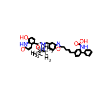 CC(C)(C)[Si](C)(C)O[C@@H](CNCc1ccc2oc(CCC=Cc3ccc(-c4ccccc4)c(NC(=O)O)c3)nc2c1)c1ccc(O)c2[nH]c(=O)ccc12